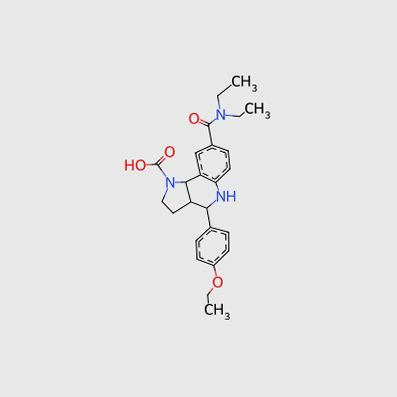 CCOc1ccc(C2Nc3ccc(C(=O)N(CC)CC)cc3C3C2CCN3C(=O)O)cc1